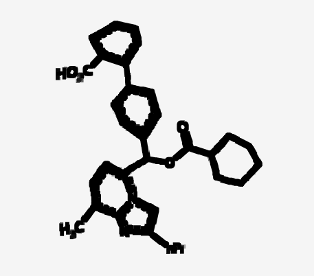 CCCc1cn2c(C(OC(=O)C3CCCCC3)c3ccc(-c4ccccc4C(=O)O)cc3)ccc(C)c2n1